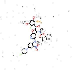 COc1cc(OC)c(P)c(C(=O)c2oc3cnc(N(C)c4ccc(N5CCC(F)CC5)cc4[N+](=O)[O-])cc3c2N(C)C(=O)OC(C)(C)C)c1F